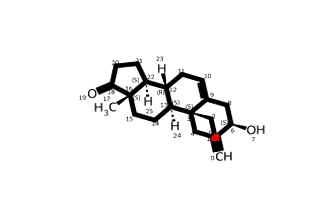 C#CC[C@]12CC[C@H](O)CC1=CC[C@@H]1[C@@H]2CC[C@]2(C)C(=O)CC[C@@H]12